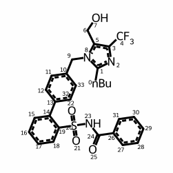 CCCCc1nc(C(F)(F)F)c(CO)n1Cc1ccc(-c2ccccc2S(=O)(=O)NC(=O)c2ccccc2)cc1